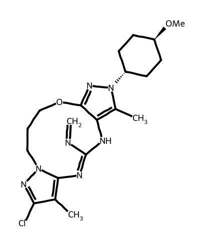 C=N/C1=N\c2c(C)c(Cl)nn2CCCOc2nn([C@H]3CC[C@H](OC)CC3)c(C)c2N1